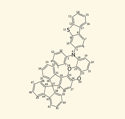 c1ccc(N(c2ccc3c(c2)sc2ccccc23)c2cccc3c2Oc2c(ccc4c2-c2ccccc2C42c4ccccc4-c4ccccc42)O3)cc1